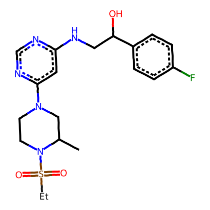 CCS(=O)(=O)N1CCN(c2cc(NCC(O)c3ccc(F)cc3)ncn2)CC1C